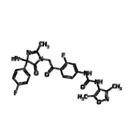 CCCC1(c2ccc(F)cc2)N=C(C)N(CC(=O)c2ccc(NC(=O)Nc3c(C)noc3C)cc2F)C1=O